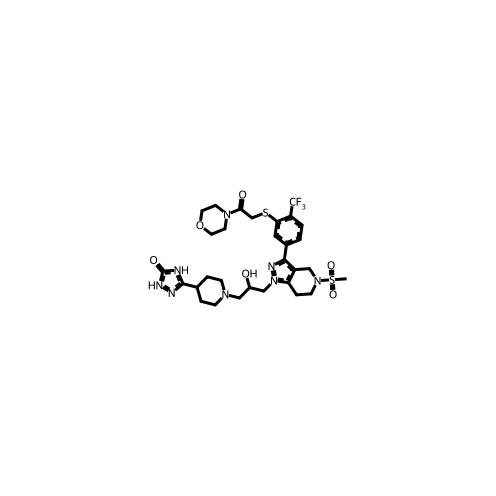 CS(=O)(=O)N1CCc2c(c(-c3ccc(C(F)(F)F)c(SCC(=O)N4CCOCC4)c3)nn2CC(O)CN2CCC(c3n[nH]c(=O)[nH]3)CC2)C1